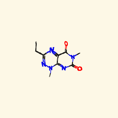 CCc1nc2c(=O)n(C)c(=O)nc-2n(C)n1